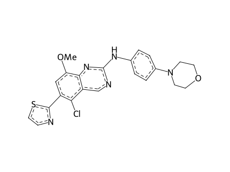 COc1cc(-c2nccs2)c(Cl)c2cnc(Nc3ccc(N4CCOCC4)cc3)nc12